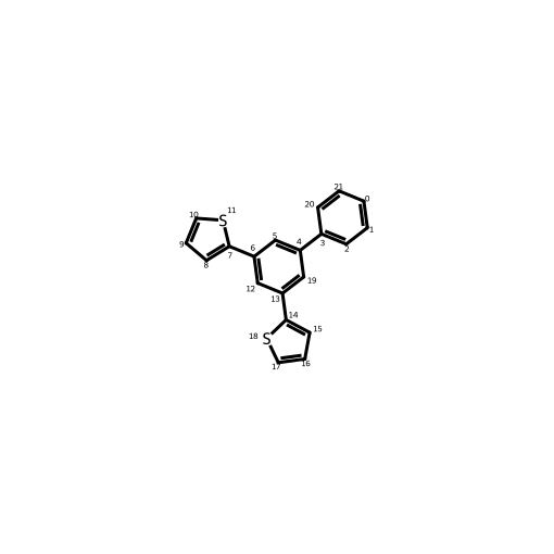 c1ccc(-c2cc(-c3cccs3)cc(-c3cccs3)c2)cc1